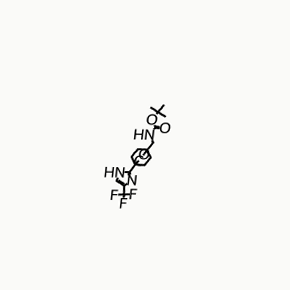 CC(C)(C)OC(=O)NCC12CCC(c3nc(C(F)(F)F)c[nH]3)(CC1)CO2